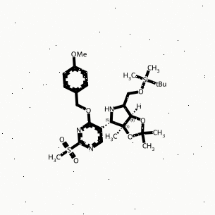 COc1ccc(COc2nc(S(C)(=O)=O)ncc2[C@@H]2NC(CO[Si](C)(C)C(C)(C)C)[C@H]3OC(C)(C)O[C@]32C)cc1